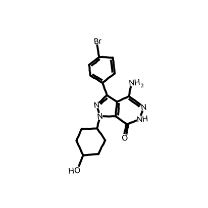 Nc1n[nH]c(=O)c2c1c(-c1ccc(Br)cc1)nn2C1CCC(O)CC1